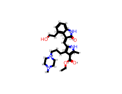 CCOC(=O)c1c(C)[nH]c(C=C2C(=O)Nc3cccc(CCO)c32)c1CCCN1CCN(C)CC1